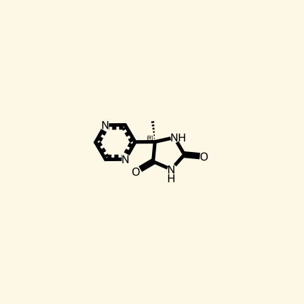 C[C@]1(c2cnccn2)NC(=O)NC1=O